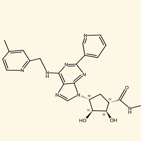 CNC(=O)[C@H]1C[C@@H](n2cnc3c(NCc4cc(C)ccn4)nc(-c4cccnc4)nc32)[C@H](O)[C@@H]1O